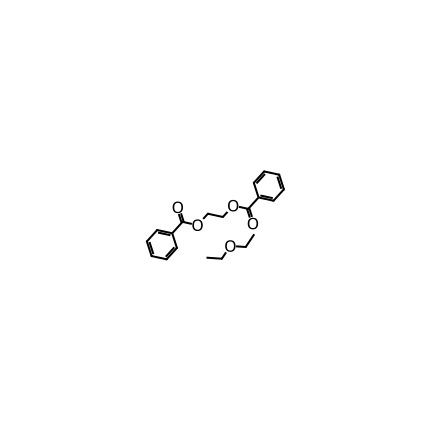 CCOCC.O=C(OCCOC(=O)c1ccccc1)c1ccccc1